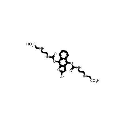 CC(=O)c1cc2c(OC(=O)NCCNCC(=O)O)c3ccccc3c(OC(=O)NCCNCC(=O)O)c2o1